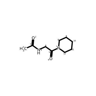 CC(=O)NCC(=O)N1CCCCC1